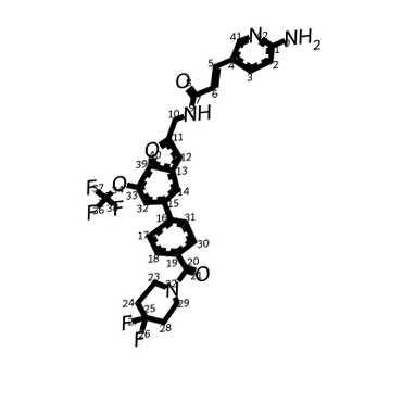 Nc1ccc(C=CC(=O)NCc2cc3cc(-c4ccc(C(=O)N5CCC(F)(F)CC5)cc4)cc(OC(F)(F)F)c3o2)cn1